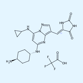 N[C@H]1CC[C@H](Nc2cc(NC3CC3)n3ncc(/C=C4\NC(=O)NC4=O)c3n2)CC1.O=C(O)C(F)(F)F